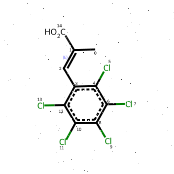 C/C(=C\c1c(Cl)c(Cl)c(Cl)c(Cl)c1Cl)C(=O)O